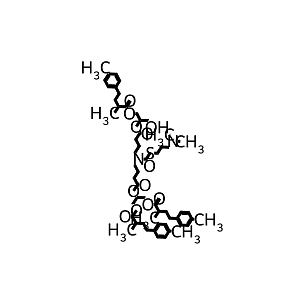 Cc1ccc(CCC(C)C(=O)OCC(CO)OC(=O)CCCN(CCCC(=O)OC(COC(=O)C(C)CCc2ccc(C)cc2)COC(=O)C(C)CCc2ccc(C)cc2)C(=O)SCCCN(C)C)cc1